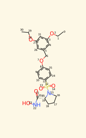 CCOc1cc(COc2ccc(S(=O)(=O)N3CCC[C@@H]3C(=O)NO)cc2)cc(OCC)c1